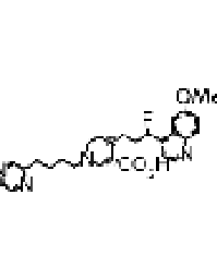 COc1ccc2nccc(C(F)CC[C@@H]3CCN(CCCCc4cnccn4)C[C@@H]3C(=O)O)c2c1